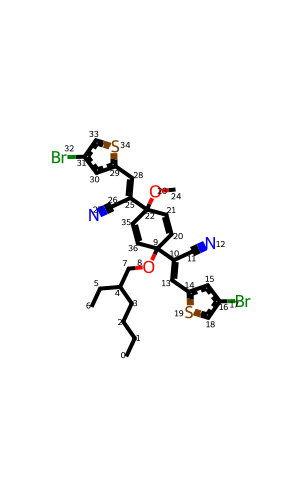 CCCCC(CC)COC1(C(C#N)=Cc2cc(Br)cs2)C=CC(OC)(C(C#N)=Cc2cc(Br)cs2)C=C1